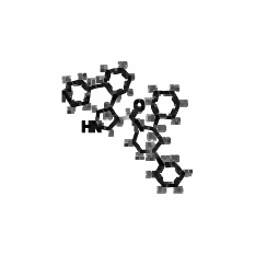 O=C([C@@H]1CNC[C@H]1c1ccccc1-c1ccncc1)N1CC[C@H](c2ccccc2)C[C@@H]1c1ccccc1